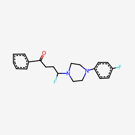 O=C(CCC(F)N1CCN(c2ccc(F)cc2)CC1)c1ccccc1